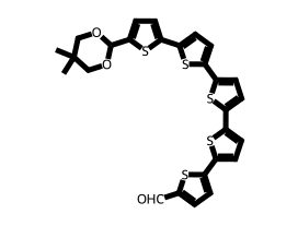 CC1(C)COC(c2ccc(-c3ccc(-c4ccc(-c5ccc(-c6ccc(C=O)s6)s5)s4)s3)s2)OC1